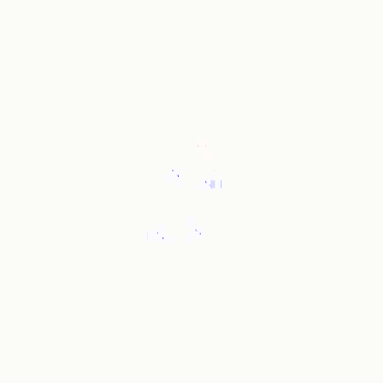 Cc1cnc(NC(=O)c2ccccc2)c2nc[nH]c12